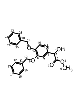 COC(=O)C(O)c1cc(OCc2ccccc2)c(OCc2ccccc2)cn1